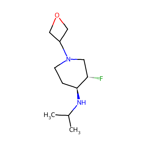 CC(C)N[C@H]1CCN(C2COC2)C[C@@H]1F